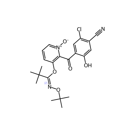 CC(C)(C)O/N=C(\Oc1ccc[n+]([O-])c1C(=O)c1cc(Cl)c(C#N)cc1O)C(C)(C)C